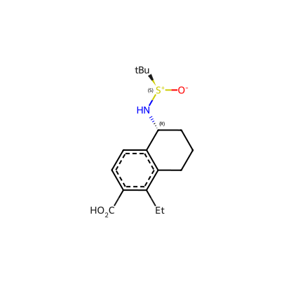 CCc1c(C(=O)O)ccc2c1CCC[C@H]2N[S@+]([O-])C(C)(C)C